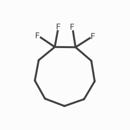 FC1(F)CCCCCCCC1(F)F